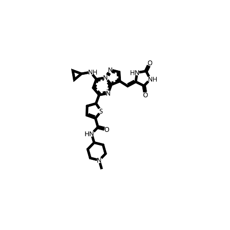 CN1CCC(NC(=O)C2=CCC(c3cc(NC4CC4)n4ncc(/C=C5\NC(=O)NC5=O)c4n3)S2)CC1